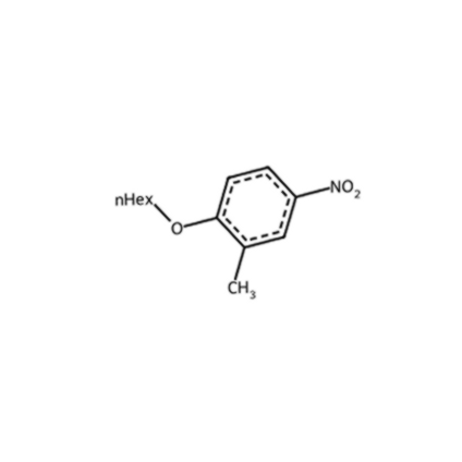 CCCCCCOc1ccc([N+](=O)[O-])cc1C